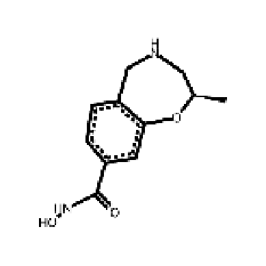 C[C@@H]1CNCc2ccc(C(=O)NO)cc2O1